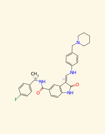 C[C@H](NC(=O)c1ccc2c(c1)/C(=C/Nc1ccc(CN3CCCCC3)cc1)C(=O)N2)c1ccc(F)cc1